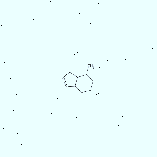 CC1CCCC2C=CC[C]12